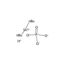 CCC[CH2][Sn+2][CH2]CCC.O=P([O-])([O-])[O-].[H+]